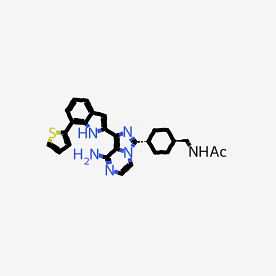 CC(=O)NC[C@H]1CC[C@H](c2nc(-c3cc4cccc(-c5cccs5)c4[nH]3)c3c(N)nccn32)CC1